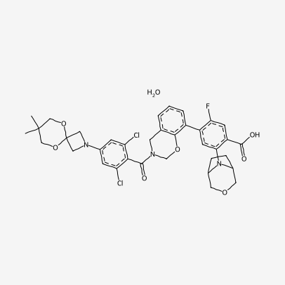 CC1(C)COC2(CN(c3cc(Cl)c(C(=O)N4COc5c(cccc5-c5cc(N6C7CCC6COC7)c(C(=O)O)cc5F)C4)c(Cl)c3)C2)OC1.O